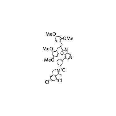 COc1ccc(CN(Cc2ccc(OC)cc2OC)c2nc3cncc(C4=CCC[C@@H](C(=O)N5CCc6cc(Cl)cc(Cl)c6[C@@H]5C)C4)c3o2)c(OC)c1